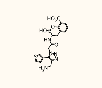 NCc1nnn(CC(=O)N[C@H]2Cc3cccc(C(=O)O)c3OB2O)c1-c1ccsc1